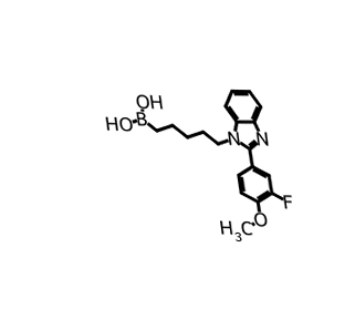 COc1ccc(-c2nc3ccccc3n2CCCCCB(O)O)cc1F